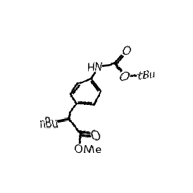 CCCCC(C(=O)OC)c1ccc(NC(=O)OC(C)(C)C)cc1